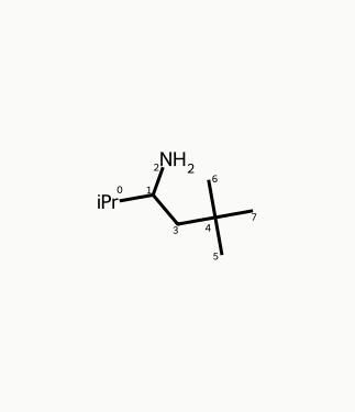 CC(C)C(N)CC(C)(C)C